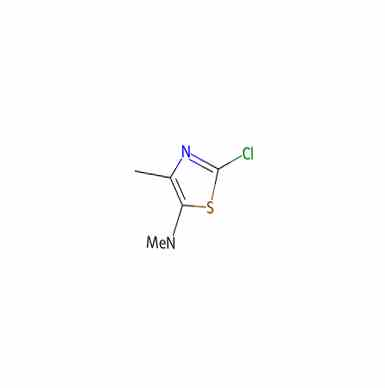 CNc1sc(Cl)nc1C